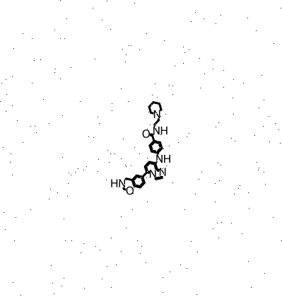 O=C(NCCN1CCCCC1)c1ccc(Nc2ccc(-c3ccc4c(c3)CNCO4)n3ccnc23)cc1